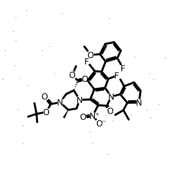 COC(=O)[C@H]1CN(C(=O)OC(C)(C)C)[C@H](C)CN1c1c([N+](=O)[O-])c(=O)n(-c2c(C)ccnc2C(C)C)c2c(F)c(-c3c(F)cccc3OC)c(F)cc12